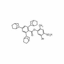 Cc1cc(S(=O)(=O)O)c(C(C)C)cc1OC(=O)c1c(C2CC3CCC2C3)cc(C2CC3CCC2C3)cc1C1CC2CCC1C2